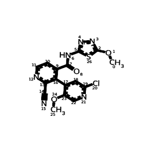 COc1nnc(NC(=O)c2ccnc(C#N)c2-c2cc(Cl)ncc2OC)s1